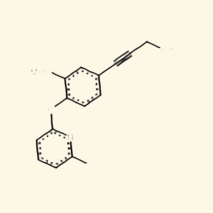 COc1cc(C#CCO)ccc1Oc1cccc(F)n1